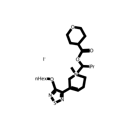 CCCCCCOc1nsnc1C1=CCC[N+](C)(C(OC(=O)C2CCOCC2)C(C)C)C1.[I-]